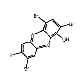 Oc1c(Br)cc(Br)c2nc3cc(Br)c(Br)cc3nc12